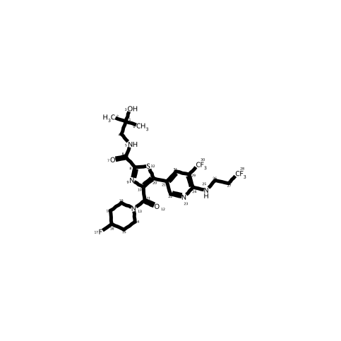 CC(C)(O)CNC(=O)c1nc(C(=O)N2CCC(F)CC2)c(-c2cnc(NCCC(F)(F)F)c(C(F)(F)F)c2)s1